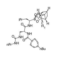 CCCCc1ccc(C(=O)N[C@@H](CNC(=O)NCCC)C(=O)N[C@@H](CC(C)C)B2O[C@@H]3C[C@@H]4C[C@@H](C4(C)C)[C@]3(C)O2)cc1